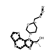 C[C@@H](O)c1nc2cnc3ccsc3c2n1[C@H]1CC[C@H](CN=[N+]=[N-])OC1